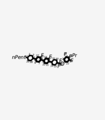 CCCCCC1CCC(c2ccc(-c3ccc(C4CCC(C(F)(F)Oc5cc(F)c(CCC)c(F)c5)CC4)c(F)c3)c(F)c2)CC1